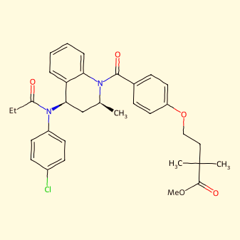 CCC(=O)N(c1ccc(Cl)cc1)[C@@H]1C[C@H](C)N(C(=O)c2ccc(OCCC(C)(C)C(=O)OC)cc2)c2ccccc21